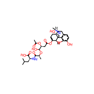 CC(=O)O[C@@H](CC(=O)OC1=CC[C@@]2(O)[C@H]3Cc4ccc(O)c5c4C2(CCN3C)[C@H]1O5)C(O)O[C@@H](C)C(=O)N[C@@H](CC(C)C)C(=O)O